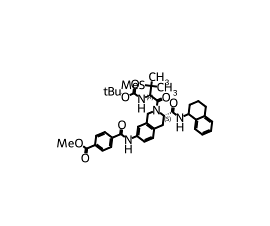 COC(=O)c1ccc(C(=O)Nc2ccc3c(c2)CN(C(=O)[C@@H](NC(=O)OC(C)(C)C)C(C)(C)SC)[C@H](C(=O)NC2CCCc4ccccc42)C3)cc1